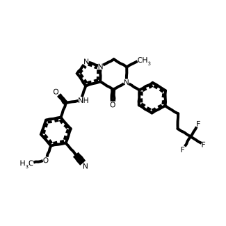 COc1ccc(C(=O)Nc2cnn3c2C(=O)N(c2ccc(CCC(F)(F)F)cc2)C(C)C3)cc1C#N